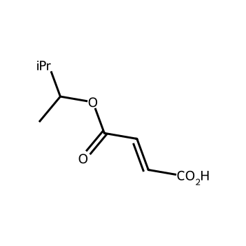 CC(C)C(C)OC(=O)C=CC(=O)O